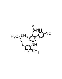 [C-]#[N+]c1ccc2c(c1)NC(=S)Cc1cnc(Nc3cc(CCCN(C)C)cnc3C)nc1-2